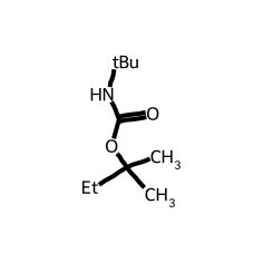 CCC(C)(C)OC(=O)NC(C)(C)C